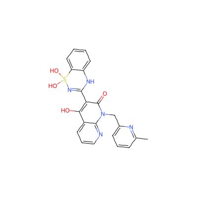 Cc1cccc(Cn2c(=O)c(C3=NS(O)(O)c4ccccc4N3)c(O)c3cccnc32)n1